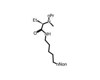 CCCCCCCCCCCCCCNC(=O)[C@@H](CC)N(C)CCC